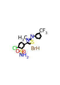 Br.Cn1c(-c2ccc(Cl)c(S(N)(=O)=O)c2)csc1=Nc1cccc(C(F)(F)F)c1